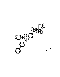 O=C(NNC(=O)C(F)(F)F)c1ccc(CN(C(=O)N2CCSCC2)c2ccc(-c3ccccc3)cc2)cc1